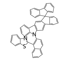 c1ccc2c(c1)-c1ccccc1C21c2ccccc2-c2cc3c(cc21)c1ccccc1n3-c1ccc2ccccc2c1-c1nc2ccccc2s1